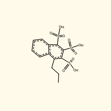 CCCc1c(S(=O)(=O)O)c(S(=O)(=O)O)c(S(=O)(=O)O)c2ccccc12